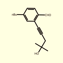 CCCCc1ccc(C=O)c(C#CCC(C)(C)O)c1